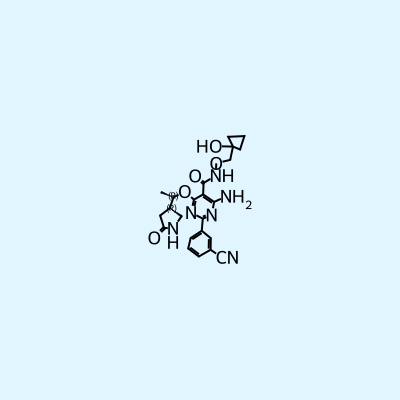 C[C@@H](Oc1nc(-c2cccc(C#N)c2)nc(N)c1C(=O)NOCC1(O)CCC1)[C@H]1CNC(=O)C1